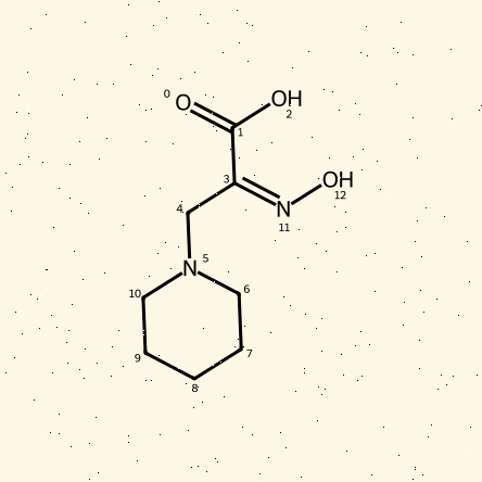 O=C(O)C(CN1CCCCC1)=NO